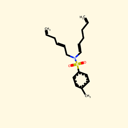 C=CC/C=C/CN(/C=C/CCC=C)S(=O)(=O)c1ccc(C)cc1